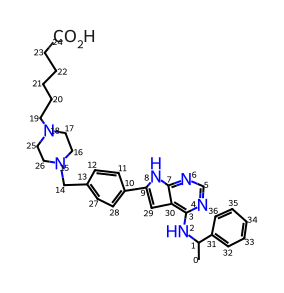 CC(Nc1ncnc2[nH]c(-c3ccc(CN4CCN(CCCCCC(=O)O)CC4)cc3)cc12)c1ccccc1